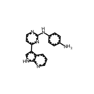 Nc1ccc(Nc2nccc(-c3c[nH]c4ncccc34)n2)cc1